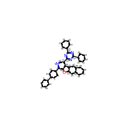 c1ccc(-c2ccc(-c3ncc(-c4nc(-c5ccccc5)nc(-c5ccccc5)n4)c4c3oc3cc5ccccc5cc34)cc2)cc1